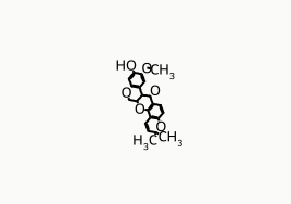 COc1cc2c(cc1O)OCC1Oc3c(ccc4c3C=CC(C)(C)O4)C(=O)C21